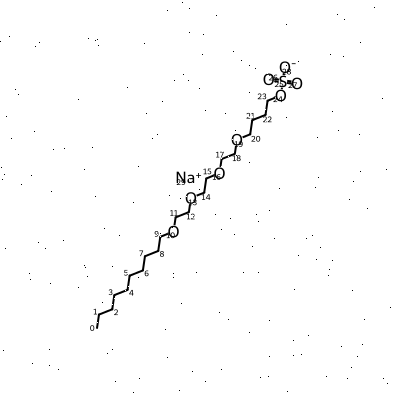 CCCCCCCCCCOCCOCCOCCOCCCCOS(=O)(=O)[O-].[Na+]